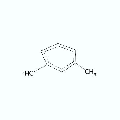 [CH]c1cc[c]c(C)c1